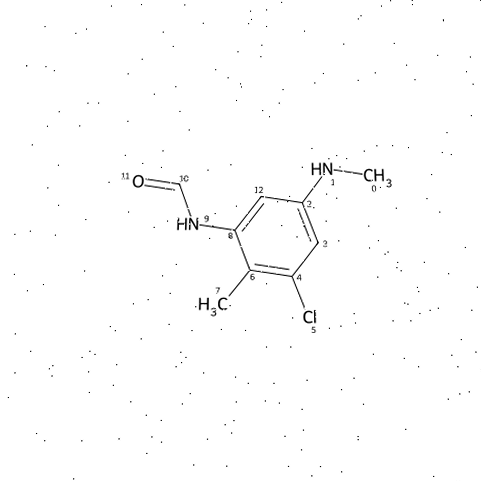 CNc1cc(Cl)c(C)c(NC=O)c1